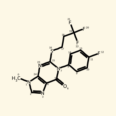 Cn1cnc2c(=O)n(-c3ccc(F)cc3)c(SCCC(F)(F)F)nc21